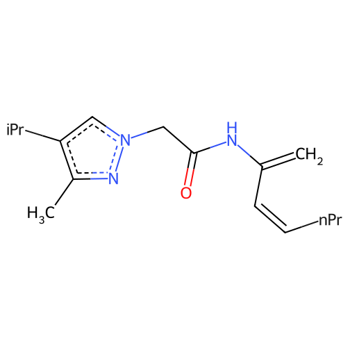 C=C(/C=C\CCC)NC(=O)Cn1cc(C(C)C)c(C)n1